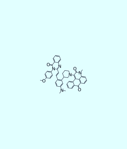 COc1ccc(-n2c(/C=C/c3ccc(N(C)C)cc3C3CCCN(c4c5c6c(cccc6n(C)c4=O)C(=O)c4ccccc4-5)C3)nc3ccccc3c2=O)cc1